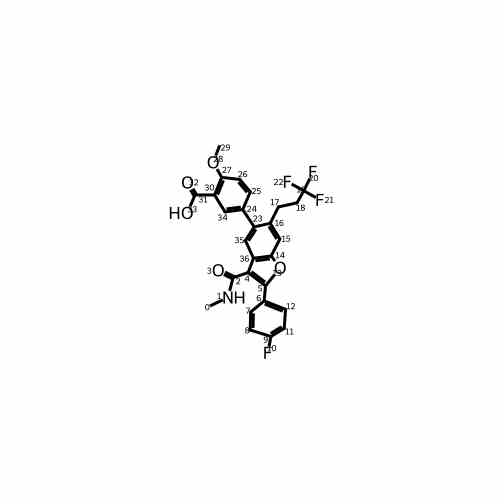 CNC(=O)c1c(-c2ccc(F)cc2)oc2cc(CCC(F)(F)F)c(-c3ccc(OC)c(C(=O)O)c3)cc12